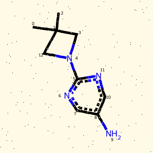 CC1(C)CN(c2ncc(N)cn2)C1